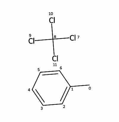 Cc1ccccc1.ClC(Cl)(Cl)Cl